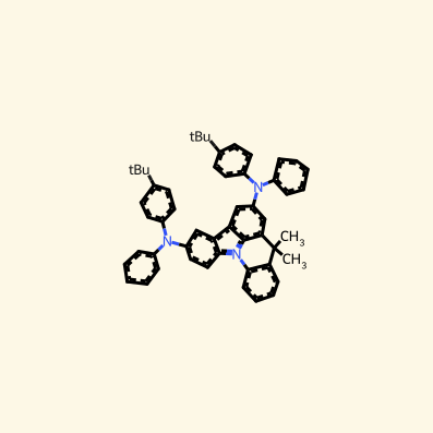 CC(C)(C)c1ccc(N(c2ccccc2)c2ccc3c(c2)c2cc(N(c4ccccc4)c4ccc(C(C)(C)C)cc4)cc4c2n3-c2ccccc2C4(C)C)cc1